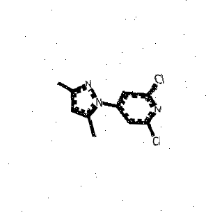 Cc1cc(C)n(-c2cc(Cl)nc(Cl)c2)n1